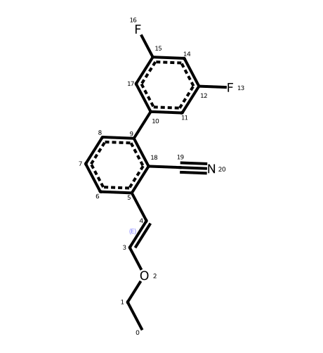 CCO/C=C/c1cccc(-c2cc(F)cc(F)c2)c1C#N